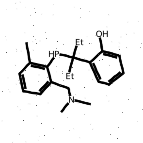 CCC(CC)(Pc1c(C)cccc1CN(C)C)c1ccccc1O